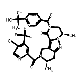 CC(c1ccc(C(C)(C)O)nc1)N1C[C@@H](C)n2nc3c(c2C1=O)CN(C(=O)c1cc(C(F)(F)F)c(Cl)cn1)[C@H](C)C3